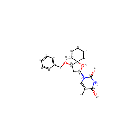 Cc1cn([C@H]2C[C@@H](OCc3ccccc3)C3(CCCC[C@H]3C)O2)c(=O)[nH]c1=O